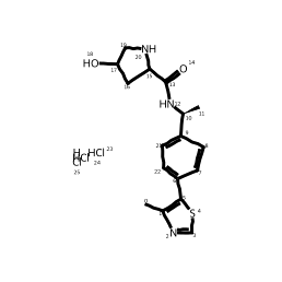 Cc1ncsc1-c1ccc([C@H](C)NC(=O)C2CC(O)CN2)cc1.Cl.Cl.Cl